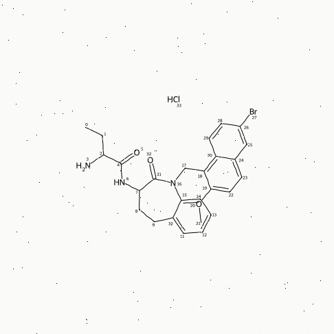 CCC(N)C(=O)NC1CCc2ccccc2N(Cc2c(OC)ccc3cc(Br)ccc23)C1=O.Cl